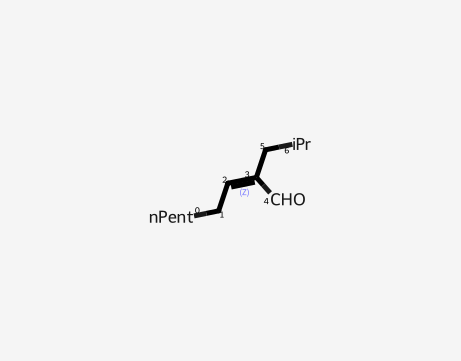 CCCCCC/C=C(\C=O)CC(C)C